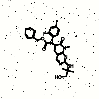 Cn1c(=O)c(N(C(=O)OCc2ccccc2)c2ccc(F)cc2F)cc2cnc(NC(C)(C)CO)nc21